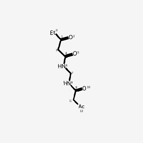 CCC(=O)CC(=O)NCNC(=O)CC(C)=O